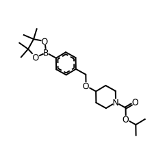 CC(C)OC(=O)N1CCC(OCc2ccc(B3OC(C)(C)C(C)(C)O3)cc2)CC1